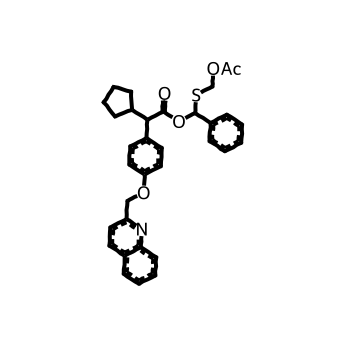 CC(=O)OCSC(OC(=O)C(c1ccc(OCc2ccc3ccccc3n2)cc1)C1CCCC1)c1ccccc1